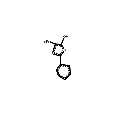 CCCc1sc(-c2ccccc2)nc1O